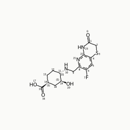 O=C1CSc2cc(F)c(CN[C@H]3CC[C@H](C(=O)O)C[C@@H]3O)nc2N1